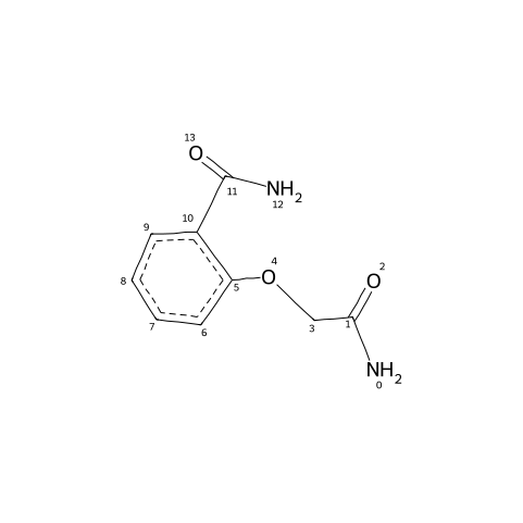 NC(=O)COc1ccccc1C(N)=O